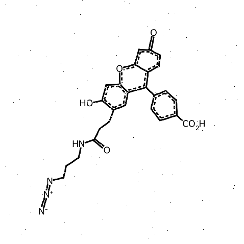 [N-]=[N+]=NCCCNC(=O)CCc1cc2c(-c3ccc(C(=O)O)cc3)c3ccc(=O)cc-3oc2cc1O